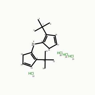 CC(C)(C)C1=[C]([Zr][C]2=C(C(C)(C)C)C=CC2)CC=C1.Cl.Cl.Cl.Cl